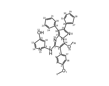 COc1ccc(-c2c(Nc3cc(O)ccn3)nc3c(-c4ccccc4)c(-c4ccccc4)nn3c2OC)cc1